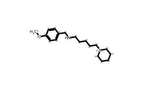 COc1ccc(CNCCCCCN2CC[CH]CC2)cc1